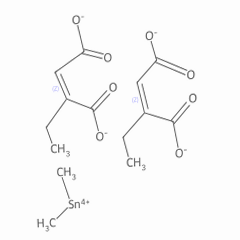 CC/C(=C/C(=O)[O-])C(=O)[O-].CC/C(=C/C(=O)[O-])C(=O)[O-].[CH3][Sn+4][CH3]